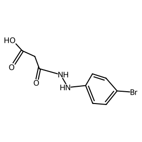 O=C(O)CC(=O)NNc1ccc(Br)cc1